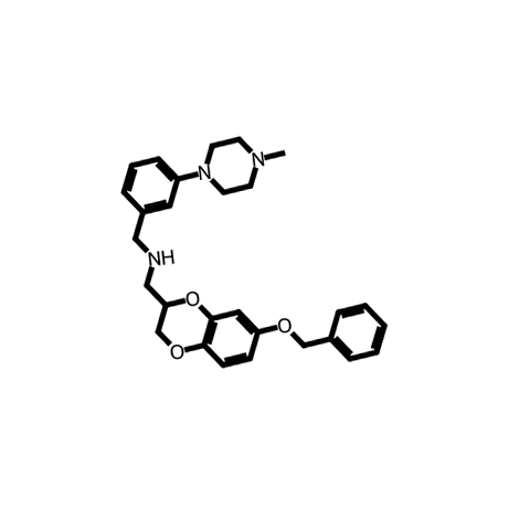 CN1CCN(c2cccc(CNCC3COc4ccc(OCc5ccccc5)cc4O3)c2)CC1